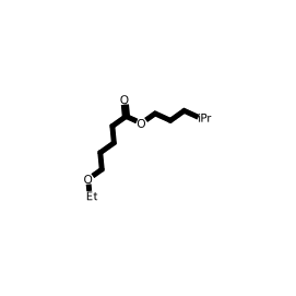 CCOCCCCC(=O)OCCCC(C)C